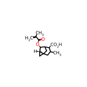 C=C(C)C(=O)OC1C2CC3(CC(C)C2C(=O)O)C[C@H]13